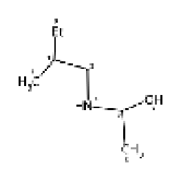 CCC(C)CNC(C)O